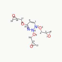 C1=CN(OCC2CO2)N(OCC2CO2)N=C1OCC1CO1